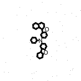 c1ccc(N(c2ccc3oc4ccccc4c3c2)c2ccc3oc4ccc5ccccc5c4c3c2)cc1